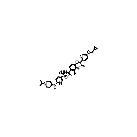 CC[C@@H](Oc1ccc(C(=O)NS(=O)(=O)c2ccc(NC3CCN(C(C)C)CC3)nc2)c(F)c1F)c1ccc(OCC2CC2)cn1